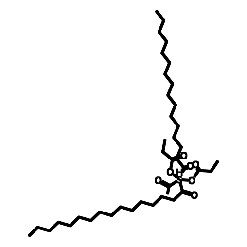 CCCCCCCCCCCCCCCC(=O)[SH](OC(=O)CC)(OC(=O)CC)(C(C)=O)C(=O)CCCCCCCCCCCCCCC